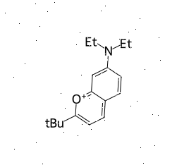 CCN(CC)c1ccc2ccc(C(C)(C)C)[o+]c2c1